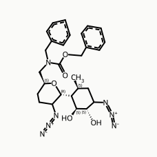 C[C@H]1CC(N=[N+]=[N-])[C@H](O)[C@@H](O)C1[C@H]1O[C@H](CN(Cc2ccccc2)C(=O)OCc2ccccc2)CCC1N=[N+]=[N-]